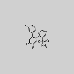 Cc1cccc(-c2cc(F)c(F)cc2-c2ccccc2S(N)(=O)=O)c1